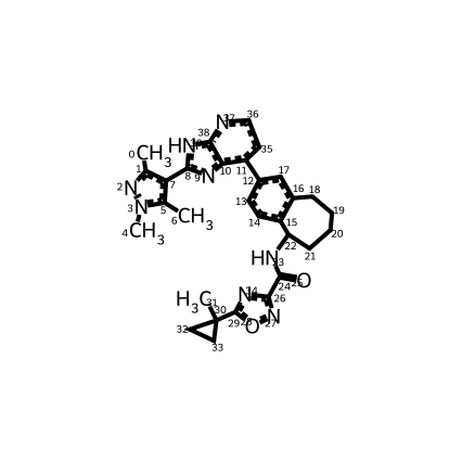 Cc1nn(C)c(C)c1-c1nc2c(-c3ccc4c(c3)CCCCC4NC(=O)c3noc(C4(C)CC4)n3)ccnc2[nH]1